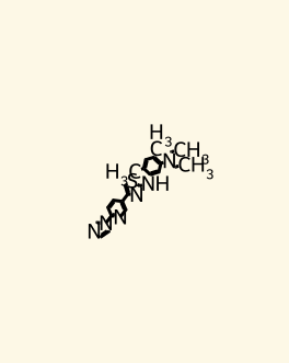 CCN(CC)c1cc(Nc2nc(-c3ccc(-n4ccnc4)nc3)cs2)c(C)cc1C